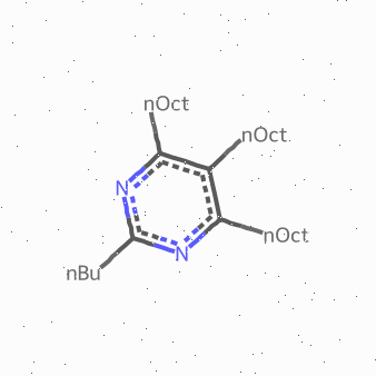 [CH2]CCCc1nc(CCCCCCCC)c(CCCCCCCC)c(CCCCCCCC)n1